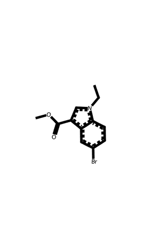 CCn1cc(C(=O)OC)c2cc(Br)ccc21